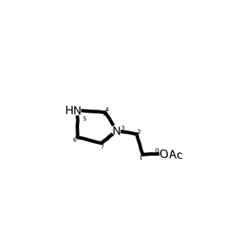 CC(=O)OCCN1[C]NCC1